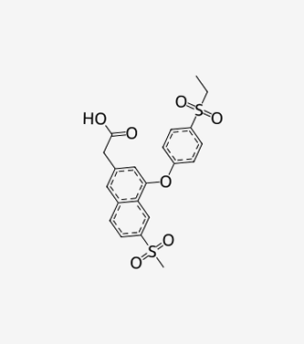 CCS(=O)(=O)c1ccc(Oc2cc(CC(=O)O)cc3ccc(S(C)(=O)=O)cc23)cc1